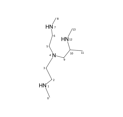 CNCCN(CCNC)CC(C)NC